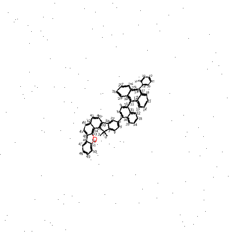 CC1(C)c2ccc(-c3ccc(-c4c5ccccc5c(-c5ccccc5)c5ccccc45)c4ccccc34)cc2-c2ccc3ccc4c5ccccc5oc4c3c21